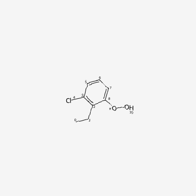 CCc1c(Cl)cccc1OO